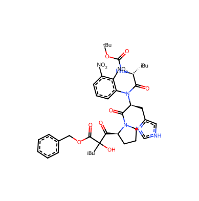 CCC(C)C(O)(C(=O)OCc1ccccc1)C(=O)[C@@H]1CCCN1C(=O)[C@H](Cc1c[nH]cn1)N(C(=O)[C@@H](NC(=O)OC(C)(C)C)[C@@H](C)CC)c1cccc([N+](=O)[O-])c1[N+](=O)[O-]